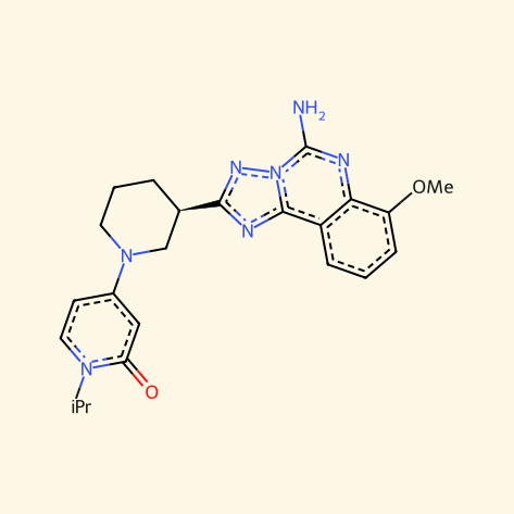 COc1cccc2c1nc(N)n1nc([C@@H]3CCCN(c4ccn(C(C)C)c(=O)c4)C3)nc21